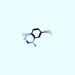 CN1C=NNc2ccc([N+](=O)[O-])cc21